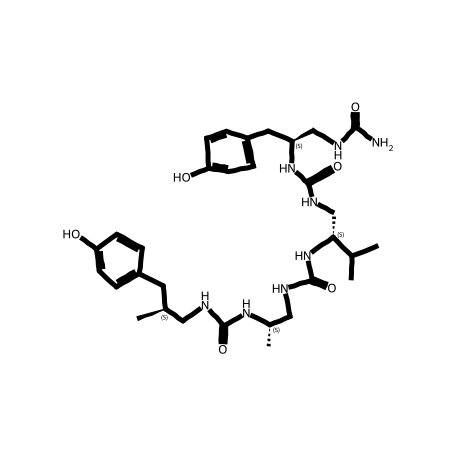 CC(C)[C@@H](CNC(=O)N[C@H](CNC(N)=O)Cc1ccc(O)cc1)NC(=O)NC[C@H](C)NC(=O)NC[C@@H](C)Cc1ccc(O)cc1